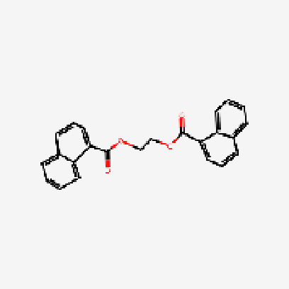 O=C(OCCOC(=O)c1cccc2ccccc12)c1cccc2ccccc12